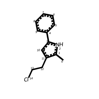 Cc1[nH]c(-c2ccccc2)cc1CCCl